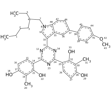 CCCCC(CC)Cn1cc(-c2nc(-c3ccc(O)c(C)c3O)nc(-c3ccc(O)c(C)c3O)n2)c2cc(-c3ccc(OC)cc3)ccc21